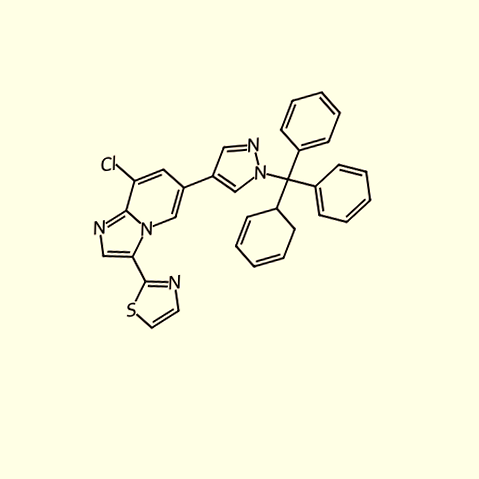 Clc1cc(-c2cnn(C(c3ccccc3)(c3ccccc3)C3C=CC=CC3)c2)cn2c(-c3nccs3)cnc12